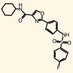 O=C(NC1CCCCC1)c1coc(-c2ccc(NS(=O)(=O)c3ccc(F)cc3)cc2)n1